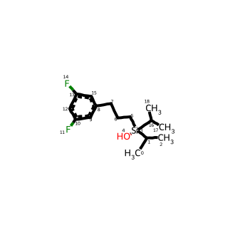 CC(C)[Si](O)(CCCc1cc(F)cc(F)c1)C(C)C